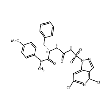 COc1ccc(N(C)C(=O)[C@H](Cc2ccccc2)NC(=O)NS(=O)(=O)n2ncc3c(Cl)nc(Cl)cc32)cc1